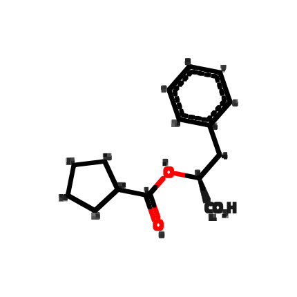 O=C(O[C@@H](Cc1ccccc1)C(=O)O)C1CCCC1